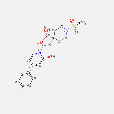 CS(=O)(=O)N1CCC(CCn2ccc(-c3ccccc3)cc2=O)(C(=O)O)CC1